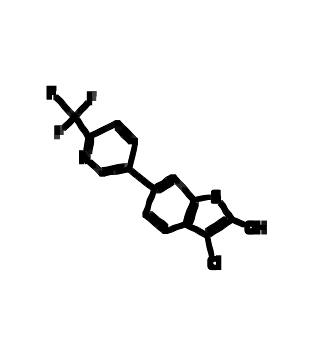 Oc1sc2cc(-c3ccc(C(F)(F)F)nc3)ccc2c1Cl